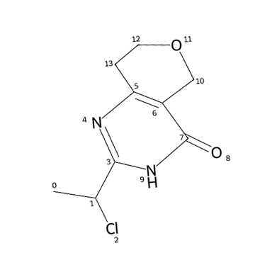 CC(Cl)c1nc2c(c(=O)[nH]1)COCC2